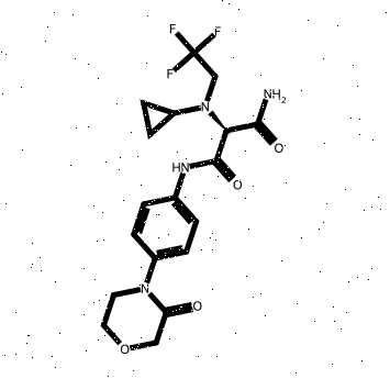 NC(=O)[C@@H](C(=O)Nc1ccc(N2CCOCC2=O)cc1)N(CC(F)(F)F)C1CC1